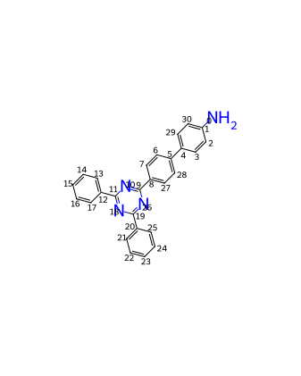 Nc1ccc(-c2ccc(-c3nc(-c4ccccc4)nc(-c4ccccc4)n3)cc2)cc1